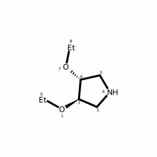 CCO[C@@H]1CNC[C@H]1OCC